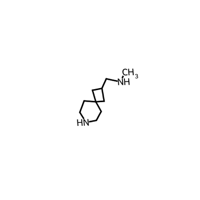 CNCC1CC2(CCNCC2)C1